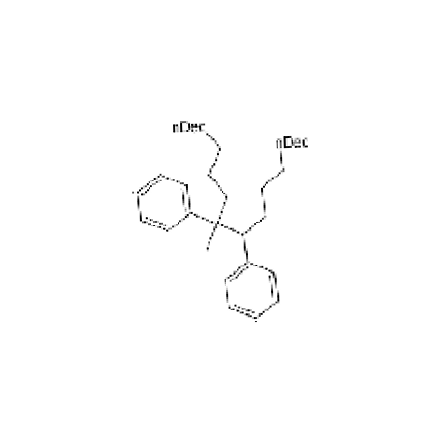 CCCCCCCCCCCCCC(c1cc[c]cc1)C(C)(CCCCCCCCCCCCC)c1cc[c]cc1